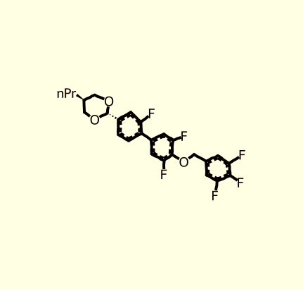 CCC[C@H]1CO[C@H](c2ccc(-c3cc(F)c(OCc4cc(F)c(F)c(F)c4)c(F)c3)c(F)c2)OC1